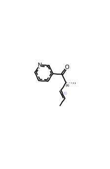 C/C=C/[C@@H](C)C(=O)c1cccnc1